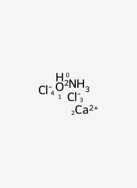 N.O.[Ca+2].[Cl-].[Cl-]